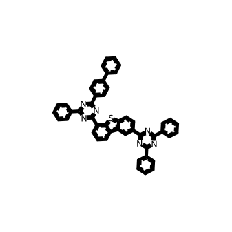 c1ccc(-c2ccc(-c3nc(-c4ccccc4)nc(-c4cccc5c4sc4ccc(-c6nc(-c7ccccc7)nc(-c7ccccc7)n6)cc45)n3)cc2)cc1